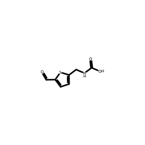 O=Cc1ccc(CNC(=O)O)s1